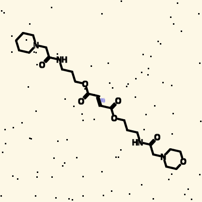 O=C(CN1CCCCC1)NCCCOC(=O)/C=C/C(=O)OCCCNC(=O)CN1CCOCC1